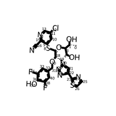 C[C@@H](O)C(CO)OC(Sc1cc(Cl)cnc1C#N)[C@H](Cn1cc(-c2nccs2)nn1)OCc1cc(F)c(O)c(F)c1